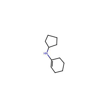 C1=C(NC2CCCC2)CCCC1